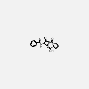 O=C(N[C@H]1CN(C(=O)N2CCC[C@H]2C(=O)O)C1=O)c1ccccc1